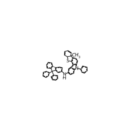 CC12C=CC=CC1Sc1c2ccc2c1c1cc(Nc3ccc4c(c3)C(c3ccccc3)(c3ccccc3)c3ccccc3-4)ccc1n2-c1ccccc1